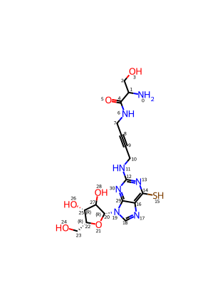 NC(CO)C(=O)NCC#CCNc1nc(S)c2ncn([C@@H]3O[C@H](CO)[C@H](O)C3O)c2n1